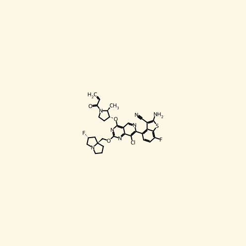 C=CC(=O)N1CC[C@@H](Oc2nc(OC[C@@]34CCCN3C[C@H](F)C4)nc3c(Cl)c(-c4ccc(F)c5sc(N)c(C#N)c45)ncc23)[C@@H]1C